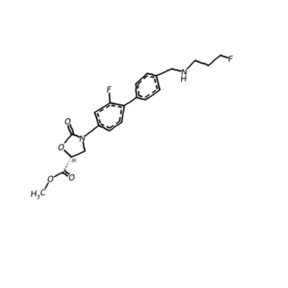 COC(=O)[C@H]1CN(c2ccc(-c3ccc(CNCCCF)cc3)c(F)c2)C(=O)O1